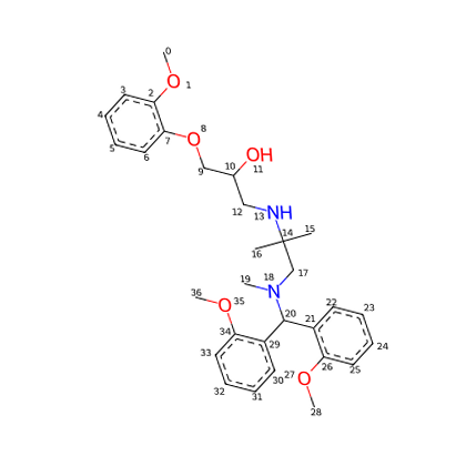 COc1ccccc1OCC(O)CNC(C)(C)CN(C)C(c1ccccc1OC)c1ccccc1OC